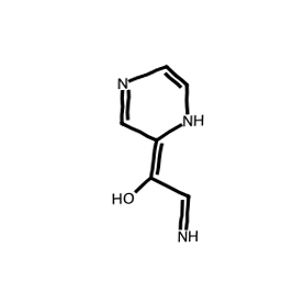 N=C/C(O)=C1/C=NC=CN1